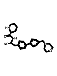 N#C[C@H](Cc1ccc(-c2ccc(CN3CCOCC3)cc2)cc1)NC(=O)[C@@H]1CCCCN1